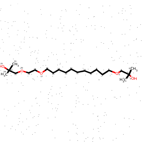 CC(C)(O)COCCCCCCCCCCCOCCOCC(C)(C)O